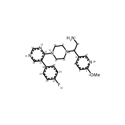 COc1ccc(C(CN)N2CCN(c3ncncc3-c3ccc(F)cc3)CC2)cn1